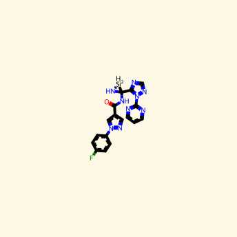 O=C(NC1(c2ncnn2-c2ncccn2)N[SiH2]1)c1cnn(-c2ccc(F)cc2)c1